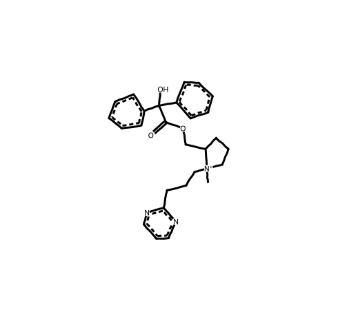 C[N+]1(CCCc2ncccn2)CCCC1COC(=O)C(O)(c1ccccc1)c1ccccc1